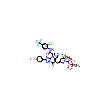 CCc1c(/C=C2/CN(C(=O)OC(C)(C)C)C(C)(C)C2)c(=O)n2nc(C3=CCC(O)CC3)nc2n1CC(=O)Nc1ccc(C(F)(F)F)cc1Cl